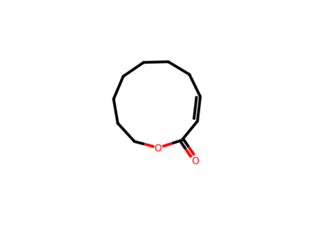 O=C1C=CCCCCCCCO1